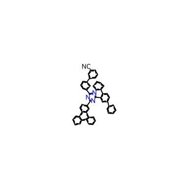 N#Cc1cccc(-c2cccc(-c3nc(-c4ccc5c6ccccc6c6ccccc6c5c4)nc(-c4cc(-c5ccccc5)ccc4-c4ccccc4)n3)c2)c1